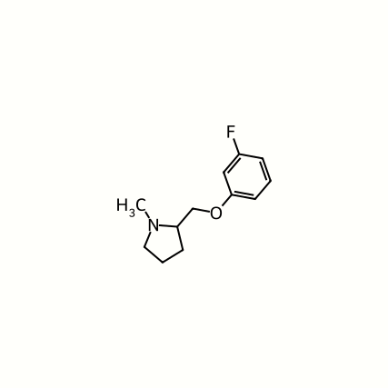 CN1CCCC1COc1cccc(F)c1